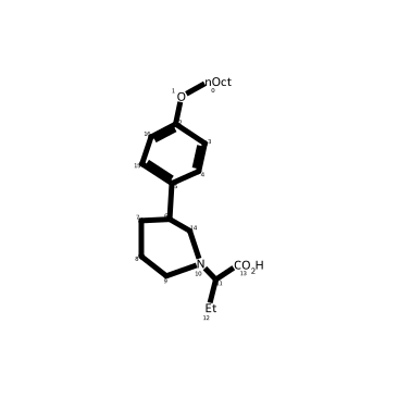 CCCCCCCCOc1ccc(C2CCCN(C(CC)C(=O)O)C2)cc1